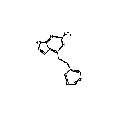 Cc1nc(CCc2cnccn2)c2cc[nH]c2n1